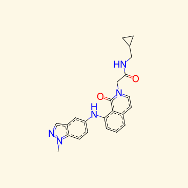 Cn1ncc2cc(Nc3cccc4ccn(CC(=O)NCC5CC5)c(=O)c34)ccc21